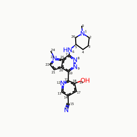 CN1CCC[C@@H](Nc2nnc(-c3ncc(C#N)cc3O)c3ccn(C)c23)C1